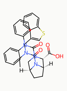 CCN(Cc1csc2ccccc12)C(=O)N1[C@H]2CC[C@@H]1[C@@H](C(=O)O)N(C(=O)N(c1ccccc1)c1ccccc1)C2